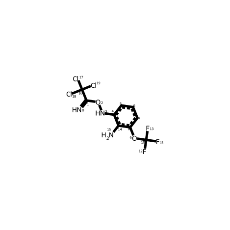 N=C(ONc1cccc(OC(F)(F)F)c1N)C(Cl)(Cl)Cl